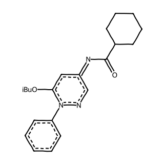 CC(C)COc1cc(=NC(=O)C2CCCCC2)cnn1-c1ccccc1